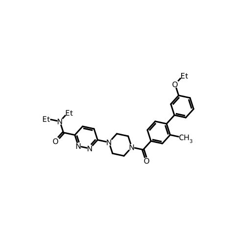 CCOc1cccc(-c2ccc(C(=O)N3CCN(c4ccc(C(=O)N(CC)CC)nn4)CC3)cc2C)c1